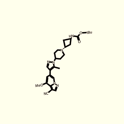 COc1cc(-c2cnn(C3CCN([C@H]4C[C@H](NC(=O)OC(C)(C)C)C4)CC3)c2C)cn2ncc(C#N)c12